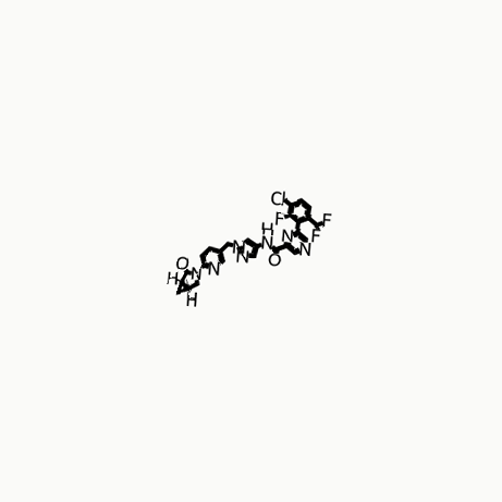 O=C(Nc1cnn(Cc2ccc(N3C[C@H]4C[C@H]4C3=O)nc2)c1)c1cncc(-c2c(C(F)F)ccc(Cl)c2F)n1